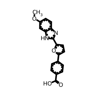 COc1ccc2nc(-c3ccc(-c4ccc(C(=O)O)cc4)o3)[nH]c2c1